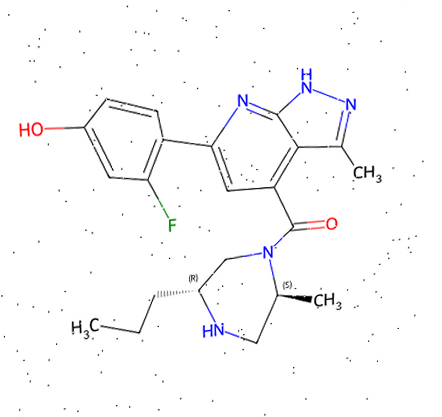 CCC[C@@H]1CN(C(=O)c2cc(-c3ccc(O)cc3F)nc3[nH]nc(C)c23)[C@@H](C)CN1